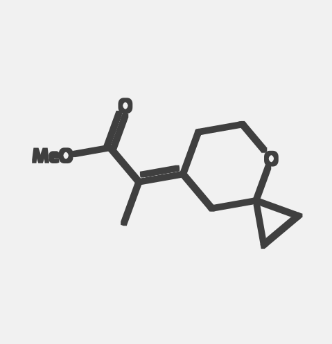 COC(=O)/C(C)=C1\CCOC2(CC2)C1